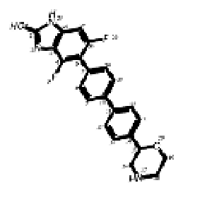 Oc1nc2c(F)c(-c3ccc(-c4ccc(C5CNCCO5)cc4)cc3)c(F)cc2[nH]1